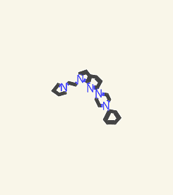 c1ccc(N2CCN(c3ccc4ccn(CCN5CCCC5)c4n3)CC2)cc1